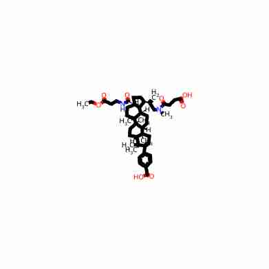 C=C(CN(C)C(=O)CCC(=O)O)[C@@H]1CC[C@]2(C(=O)NCCC(=O)OCC)CC[C@]3(C)[C@H](CC[C@@H]4[C@@]5(C)CC=C(c6ccc(C(=O)O)cc6)C(C)(C)[C@@H]5CC[C@]43C)[C@@H]12